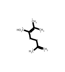 C=C(C)CCC(C(=O)O)=C(C)C